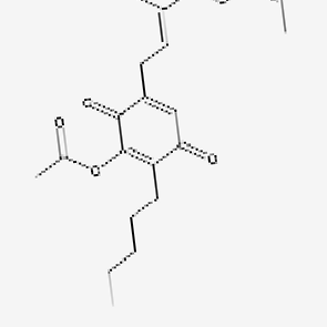 CCCCCC1=C(OC(C)=O)C(=O)C(C/C=C(\C)CCC=C(C)C)=CC1=O